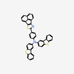 c1cc2c3c(cccc3c1)-c1sc(-c3ccc(N(c4ccc5sc6ccccc6c5c4)c4ccc5sc6ccccc6c5c4)cc3)nc1-2